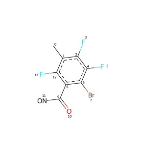 Cc1c(F)c(F)c(Br)c(C(=O)N=O)c1F